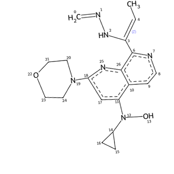 C=NN/C(=C\C)c1nccc2c(N(O)C3CC3)cc(N3CCOCC3)nc12